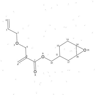 C=CCOCC(=C)C(=O)OCC1CCC2OC2C1